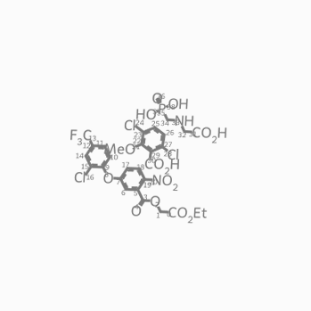 CCOC(=O)COC(=O)c1cc(Oc2ccc(C(F)(F)F)cc2Cl)ccc1[N+](=O)[O-].COc1c(Cl)ccc(Cl)c1C(=O)O.O=C(O)CNCP(=O)(O)O